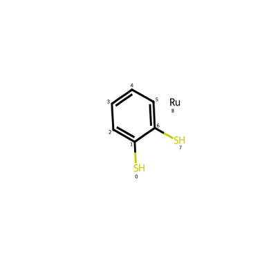 Sc1ccccc1S.[Ru]